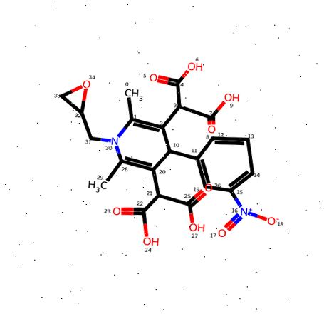 CC1=C(C(C(=O)O)C(=O)O)C(c2cccc([N+](=O)[O-])c2)C(C(C(=O)O)C(=O)O)=C(C)N1CC1CO1